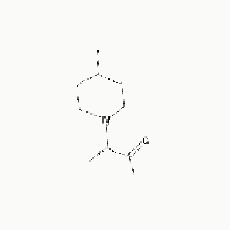 CC(=O)C(C)N1CCC(C)CC1